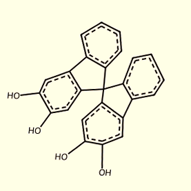 Oc1cc2c(cc1O)C1(c3ccccc3-2)c2ccccc2-c2cc(O)c(O)cc21